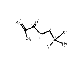 C=C(C)C(=O)OC[Si](Cl)(Cl)CCC